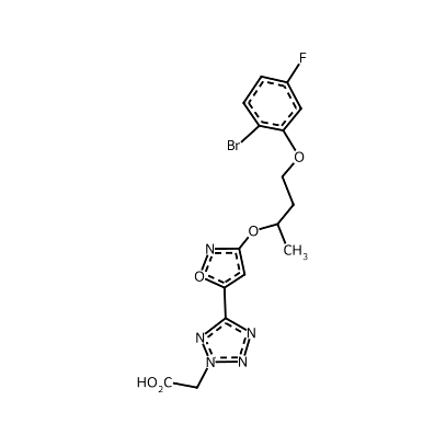 CC(CCOc1cc(F)ccc1Br)Oc1cc(-c2nnn(CC(=O)O)n2)on1